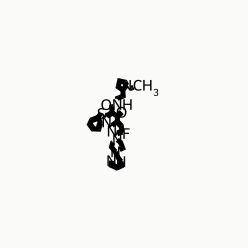 CCN1CCCC1CCNC(=O)c1c(=O)c2cc(F)c(N3CCN(c4ncccn4)CC3)nc2n2c1sc1ccccc12